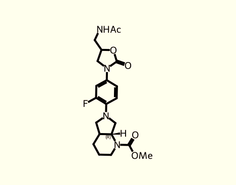 COC(=O)N1CCCC2CN(c3ccc(N4CC(CNC(C)=O)OC4=O)cc3F)C[C@@H]21